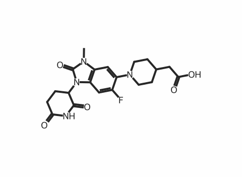 Cn1c(=O)n(C2CCC(=O)NC2=O)c2cc(F)c(N3CCC(CC(=O)O)CC3)cc21